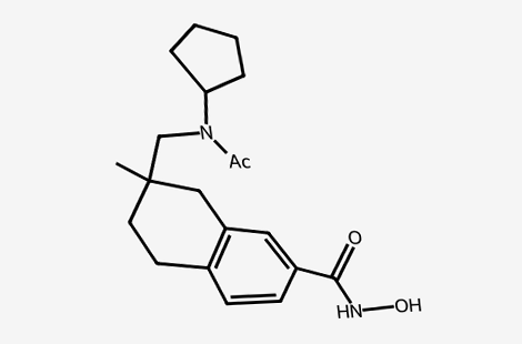 CC(=O)N(CC1(C)CCc2ccc(C(=O)NO)cc2C1)C1CCCC1